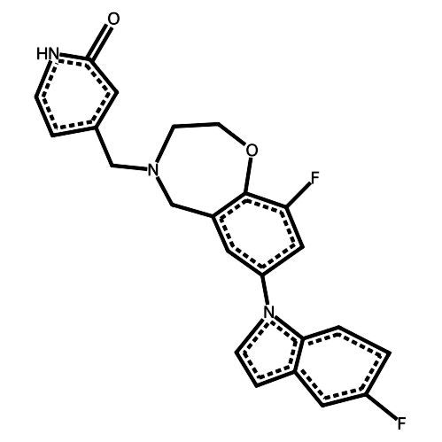 O=c1cc(CN2CCOc3c(F)cc(-n4ccc5cc(F)ccc54)cc3C2)cc[nH]1